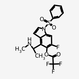 CNC(C)c1c(OC(=O)C(F)(F)F)c(F)cc2c1ccn2S(=O)(=O)c1ccccc1